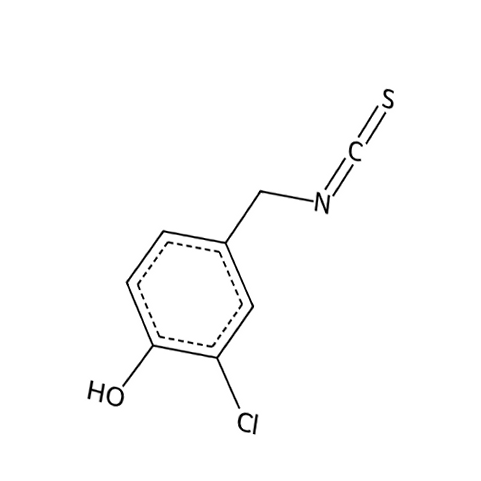 Oc1ccc(CN=C=S)cc1Cl